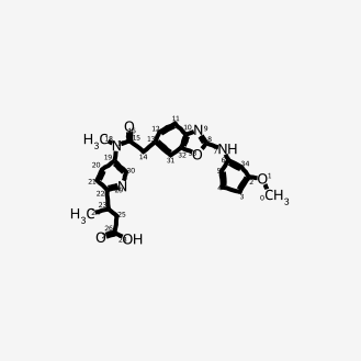 COc1cccc(Nc2nc3ccc(CC(=O)N(C)c4ccc(C(C)CC(=O)O)nc4)cc3o2)c1